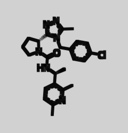 Cc1ccc([C@H](C)NC(=O)N2CCC[C@@H]2c2nnc(C)n2Cc2ccc(Cl)cc2)c(C)n1